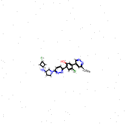 COc1cc(-c2cc(O)c(-c3ccc(N4CCC(N[C@H]5C[C@@H](F)C5)C4)nn3)cc2F)cnn1